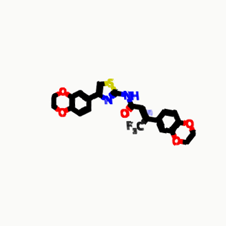 O=C(/C=C(/c1ccc2c(c1)OCCO2)C(F)(F)F)Nc1nc(-c2ccc3c(c2)OCCO3)cs1